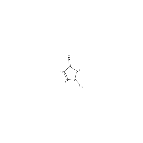 O=C1N=NC(F)S1